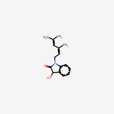 CC(C)=C/C(C)=C\CN1C(=O)C(O)c2ccccc21